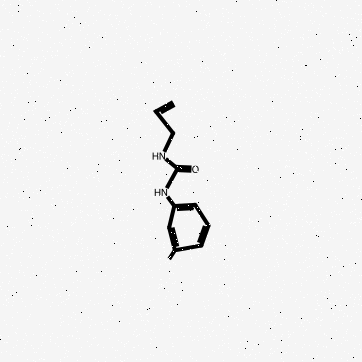 C=CCNC(=O)Nc1cccc(C)c1